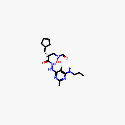 CCCNc1nc(C)nc(NNC(=O)[C@H](CC2CCCC2)CN(O)C=O)c1F